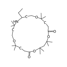 CCC1CCOC(C)(C)CCC(=O)OC(C)(C)CC(C)(C)OC(=O)CCC(C)(C)OCCC(C)(C)N1